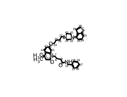 CC1(C)CC(=O)N(CCCC(=O)NCc2ccccc2)c2cc(OCCCCN3CCN(c4cccc5sccc45)CC3)ccc21